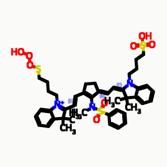 CN(C1=C(/C=C/C2=[N+](CCCCSOOO)c3ccccc3C2(C)C)CC/C1=C\C=C1\N(CCCCS(=O)(=O)O)c2ccccc2C1(C)C)S(=O)(=O)c1ccccc1